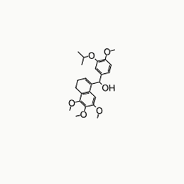 COc1ccc(C(O)C2=CCCc3c2cc(OC)c(OC)c3OC)cc1OC(C)C